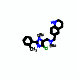 CCCCN(Cc1ccc2c(c1)CCCN2)Cc1c(Cl)nc(-c2ccccc2C)n1CCCC